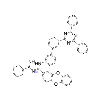 N=C(/N=C(\Nc1cccc(C2=CC(c3nc(-c4ccccc4)nc(-c4ccccc4)n3)CC=C2)c1)c1ccc2c(c1)Oc1ccccc1O2)C1=CC=CCC1